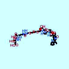 CCc1c2c(nc3ccccc13)-c1cc3c(c(=O)n1C2)COC(=O)[C@@]3(CC)OC(=O)[C@@H](NC(=O)[C@@H]1CCCN1C(=O)[C@H](CC(=O)O)NC(=O)CCOCCOCCOCCNC(=O)NCCCC[C@H](NC(=O)N[C@@H](CCC(=O)O)C(=O)O)C(=O)O)C(C)C